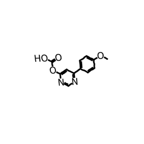 COc1ccc(-c2cc(OC(=O)O)ncn2)cc1